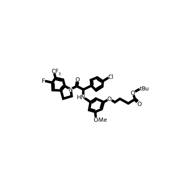 COc1cc(NC(C(=O)N2CCc3cc(F)c(C(F)(F)F)cc32)c2ccc(Cl)cc2)cc(OCCCC(=O)OC(C)(C)C)c1